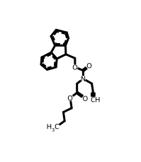 C#CCN(CC(=O)OCCCC)C(=O)OCC1c2ccccc2-c2ccccc21